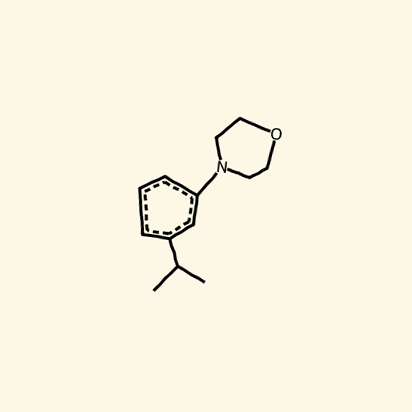 CC(C)c1cccc(N2CCOCC2)c1